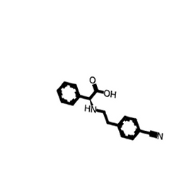 N#Cc1ccc(CCN[C@H](C(=O)O)c2ccccc2)cc1